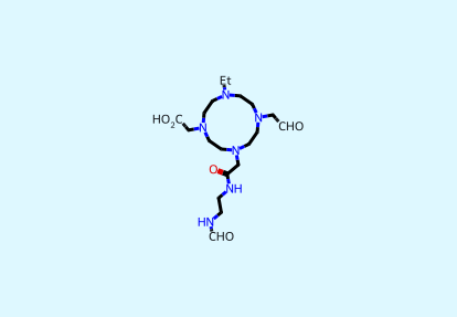 CCN1CCN(CC=O)CCN(CC(=O)NCCNC=O)CCN(CC(=O)O)CC1